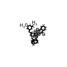 CC1CC(C)CC(CCCN(CC23CC4CC(CC(C4)C2)C3)C(=O)C(F)(F)S(=O)(=O)ON2C(=O)C3CCCCC3C2=O)C1